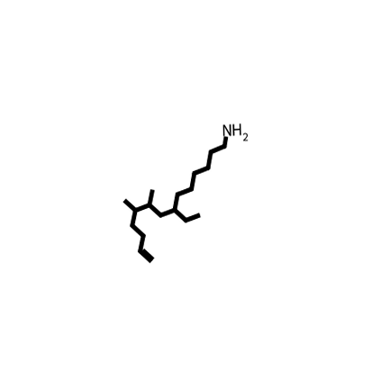 C=CCCC(C)C(C)CC(CC)CCCCCCN